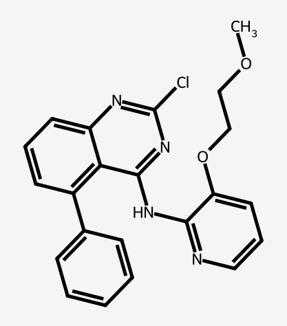 COCCOc1cccnc1Nc1nc(Cl)nc2cccc(-c3ccccc3)c12